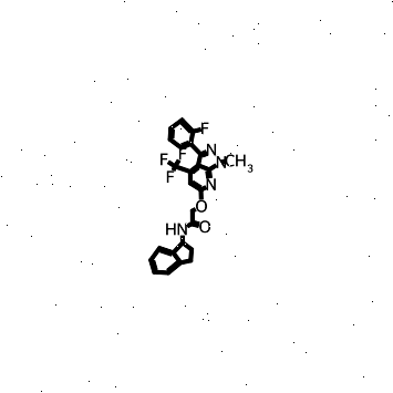 Cn1nc(-c2ccccc2F)c2c(C(F)(F)F)cc(OCC(=O)NC3CCc4ccccc43)nc21